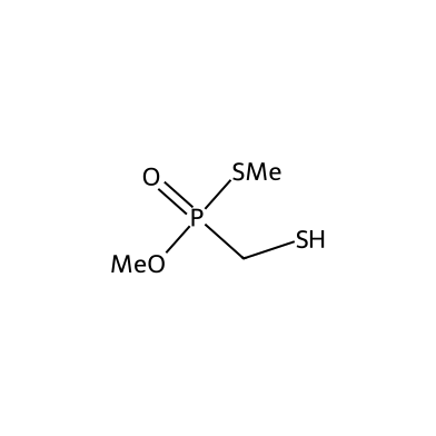 COP(=O)(CS)SC